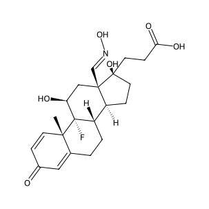 C[C@]12C=CC(=O)C=C1CC[C@H]1[C@@H]3CC[C@@](O)(CCC(=O)O)[C@@]3(C=NO)C[C@H](O)[C@@]12F